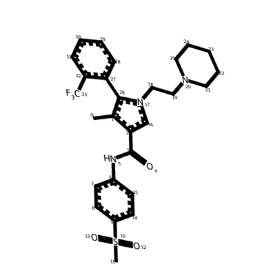 Cc1c(C(=O)Nc2ccc(S(C)(=O)=O)cc2)cn(CCN2CCCCC2)c1-c1ccccc1C(F)(F)F